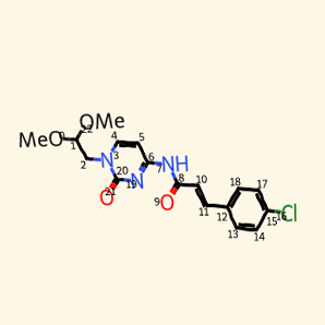 COC(Cn1ccc(NC(=O)/C=C/c2ccc(Cl)cc2)nc1=O)OC